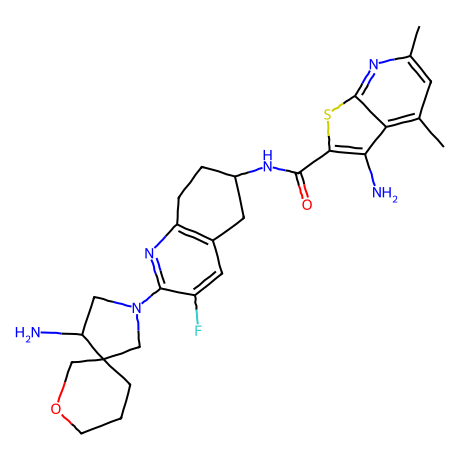 Cc1cc(C)c2c(N)c(C(=O)NC3CCc4nc(N5CC(N)C6(CCCOC6)C5)c(F)cc4C3)sc2n1